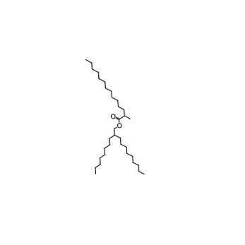 CCCCCCCCCCCCC(C)C(=O)OCC(CCCCCCCC)CCCCCCCCC